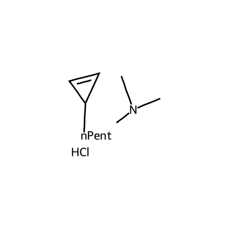 CCCCCC1C=C1.CN(C)C.Cl